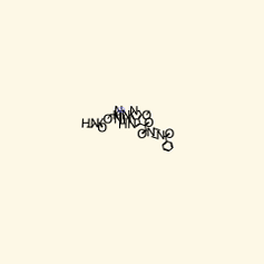 CCNC(=O)COCC(=N)/N=C\Nc1ncc(OC)c2c(C(=O)C(=O)N3CCN(C(=O)c4ccccc4)CC3)c[nH]c12